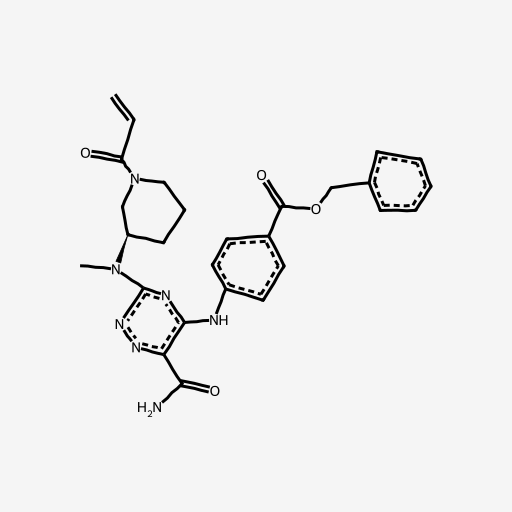 C=CC(=O)N1CCC[C@@H](N(C)c2nnc(C(N)=O)c(Nc3ccc(C(=O)OCc4ccccc4)cc3)n2)C1